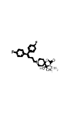 CN1C(=O)OC2(CCN(CCC=C(c3ccc(F)cc3)c3ccc(F)cc3)CC2)C1(C)O